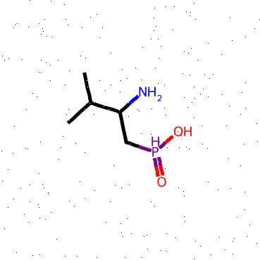 CC(C)C(N)C[PH](=O)O